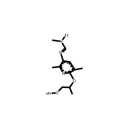 CCCOCC(C)Oc1nc(C)c(N=CN(C)CC)cc1C